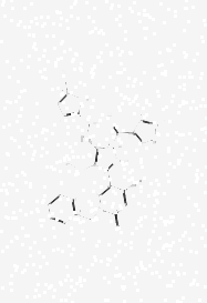 COc1c(-c2cn(Cc3ccccc3)c(=O)cc2O)nn(C(=O)c2cnoc2)c1NCc1ccc(Cl)s1